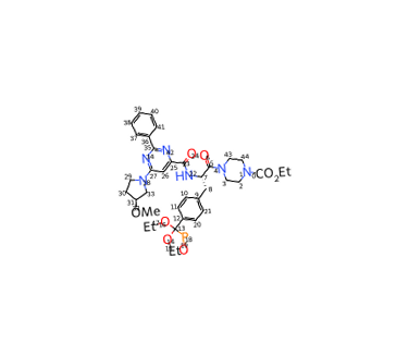 CCOC(=O)N1CCN(C(=O)[C@H](Cc2ccc(C(OCC)(OCC)P=O)cc2)NC(=O)c2cc(N3CC[C@H](OC)C3)nc(-c3ccccc3)n2)CC1